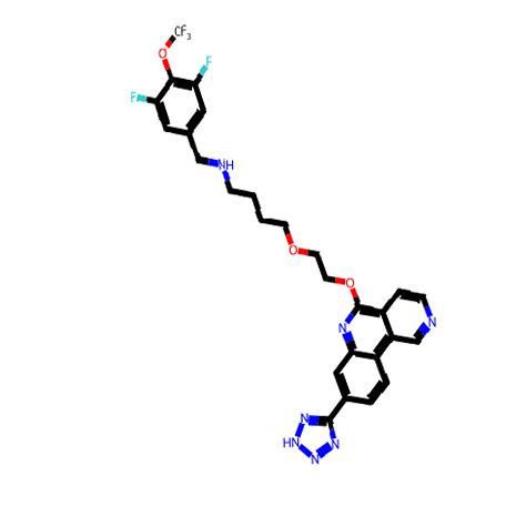 Fc1cc(CNCCCCOCCOc2nc3cc(-c4nn[nH]n4)ccc3c3cnccc23)cc(F)c1OC(F)(F)F